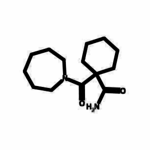 NC(=O)C1(C(=O)N2CCCCCC2)CCCCC1